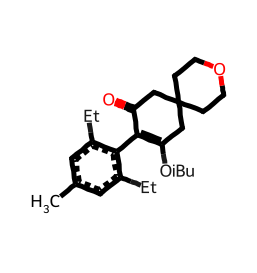 CCc1cc(C)cc(CC)c1C1=C(OCC(C)C)CC2(CCOCC2)CC1=O